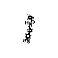 O=C(NN=Cc1ccc(-c2ccc([N+](=O)[O-])cc2)o1)c1ccco1